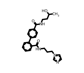 CC(O)CCNC(=O)c1ccc(-c2ccc[c]c2C(=O)NCCCn2ccnc2)cc1